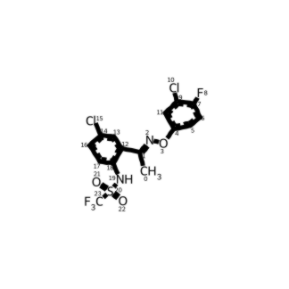 C/C(=N\Oc1ccc(F)c(Cl)c1)c1cc(Cl)ccc1NS(=O)(=O)C(F)(F)F